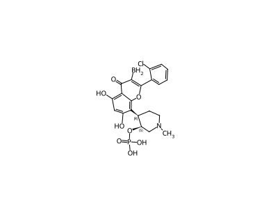 Bc1c(-c2ccccc2Cl)oc2c([C@H]3CCN(C)C[C@H]3OP(=O)(O)O)c(O)cc(O)c2c1=O